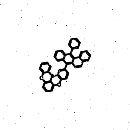 c1ccc(-c2c3ccccc3c(-c3ccc4c(c3)B3c5ccccc5Oc5cccc(c53)O4)c3ccc4ccccc4c23)cc1